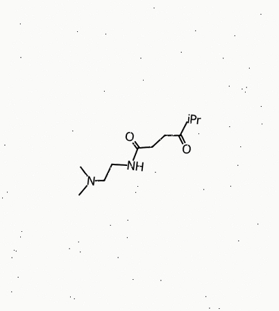 CC(C)C(=O)CCC(=O)NCCN(C)C